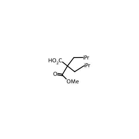 COC(=O)C(CC(C)C)(CC(C)C)C(=O)O